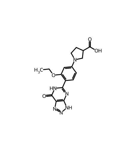 CCOc1cc(N2CCC(C(=O)O)C2)ccc1-c1nc2[nH]nnc2c(=O)[nH]1